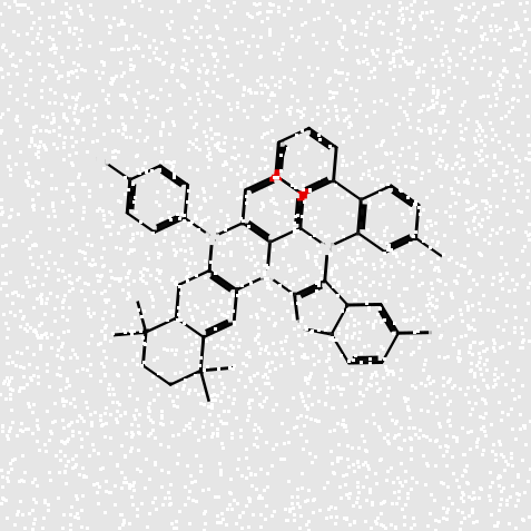 Cc1ccc(-c2ccccc2)c(N2C3=C(OC4C=CC(C(C)C)=CC34)B3C4=C(CC5C(=C4)C(C)(C)CCC5(C)C)N(c4ccc(C(C)(C)C)cc4)c4cc(C)cc2c43)c1